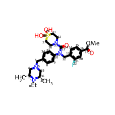 CCN1[C@H](C)CN(Cc2ccc(N(Cc3ccc(C(=O)OC)cc3F)C(=O)N3CCS(O)(O)CC3)cc2)C[C@@H]1C